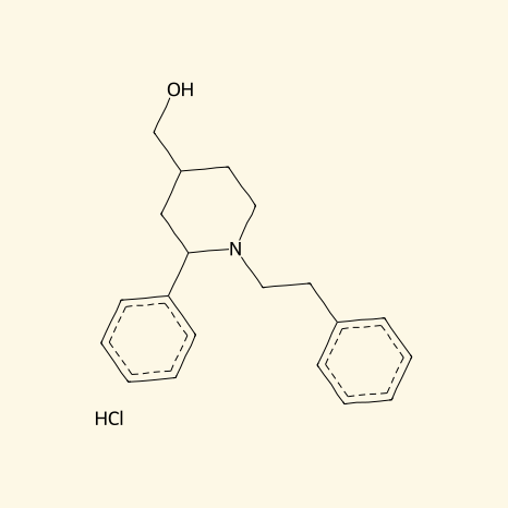 Cl.OCC1CCN(CCc2ccccc2)C(c2ccccc2)C1